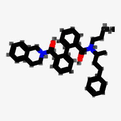 CC(CCc1ccccc1)N(CCC(=O)O)C(=O)c1ccccc1-c1ccccc1C(=O)N1CCc2ccccc2C1